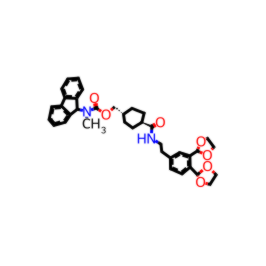 CN(C(=O)OC[C@H]1CC[C@H](C(=O)NCCc2ccc(C3OCCO3)c(C3OCCO3)c2)CC1)C1c2ccccc2-c2ccccc21